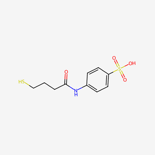 O=C(CCCS)Nc1ccc(S(=O)(=O)O)cc1